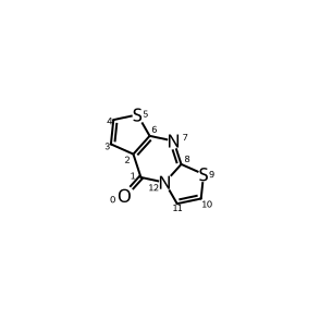 O=c1c2ccsc2nc2sccn12